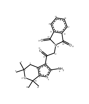 CC1(C)Cc2c(sc(N)c2C(=O)CN2C(=O)c3ccccc3C2=O)C(C)(C)O1